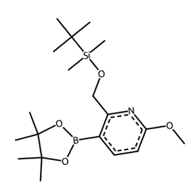 COc1ccc(B2OC(C)(C)C(C)(C)O2)c(CO[Si](C)(C)C(C)(C)C)n1